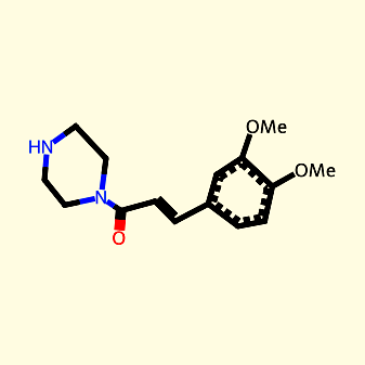 COc1ccc(C=CC(=O)N2CCNCC2)cc1OC